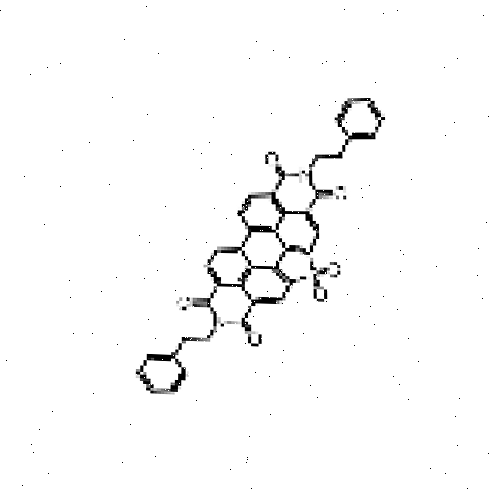 O=C1c2ccc3c4ccc5c6c(cc7c(c8c(cc(c2c38)C(=O)N1CCc1ccccc1)S7(=O)=O)c64)C(=O)N(CCc1ccccc1)C5=O